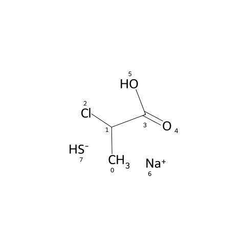 CC(Cl)C(=O)O.[Na+].[SH-]